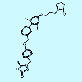 Cc1cc(OCCCN2CCCC2=O)cc(C)c1-c1cccc(COc2ccc(Cn3oc(=O)[nH]c3=O)cc2)c1